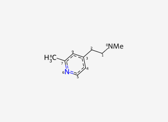 CNCCc1ccnc(C)c1